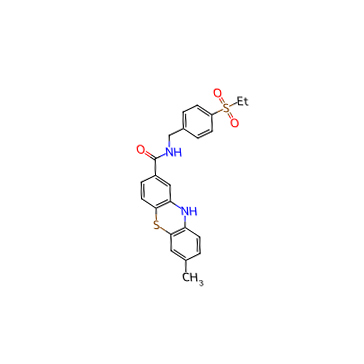 CCS(=O)(=O)c1ccc(CNC(=O)c2ccc3c(c2)Nc2ccc(C)cc2S3)cc1